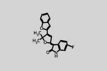 CC1(C)OC(=C2C(=O)Nc3cc(F)ccc32)C=C1c1cc2ccccc2o1